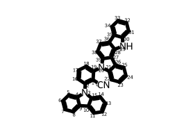 N#Cc1c(-n2c3ccccc3c3ccccc32)cccc1-n1c2ccccc2c2c3[nH]c4ccccc4c3ccc21